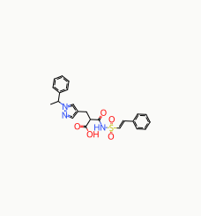 CC(c1ccccc1)n1cc(CC(C(=O)O)C(=O)NS(=O)(=O)C=Cc2ccccc2)cn1